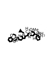 COc1cc(C(=O)N2[C@H]3CC[C@@H]2[C@H](N)C3)cc2nc(-c3cc4ccc(N5CCOc6ccccc6S5(=O)=O)nc4n3CC3CC3)c(C)n12